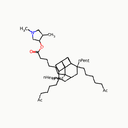 CCCCCCC1(CCCCC(C)=O)CC2CC(CCCCC)(CCCCCC(C)=O)C3CC4CC1C43C2(CCCCC)CCCCCC(=O)OC1CN(C)CC1C